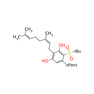 CCCCCc1cc(O)c(CC=C(C)CCC=C(C)C)c(O)c1S(=O)(=O)C(C)(C)C